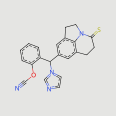 N#COc1ccccc1C(c1cc2c3c(c1)CCN3C(=S)CC2)n1ccnc1